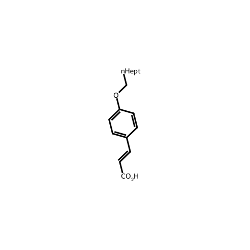 CCCCCCCCOc1ccc(C=CC(=O)O)cc1